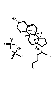 CC(C)CCCC(C)[C@H]1CC[C@H]2[C@@H]3CC=C4C[C@@H](O)CC[C@]4(C)[C@H]3CC[C@]12C.O=P(O)(O)OP(=O)(O)O